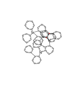 c1ccc(-c2ccccc2-n2c3cccc(-n4c5ccccc5c5ccccc54)c3c3c(-n4c5ccccc5c5cccc([Si](c6ccccc6)(c6ccccc6)c6ccccc6)c54)cccc32)cc1